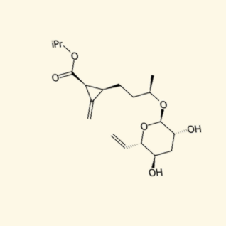 C=C[C@@H]1O[C@@H](O[C@H](C)CC[C@H]2C(=C)[C@H]2C(=O)OC(C)C)[C@H](O)C[C@H]1O